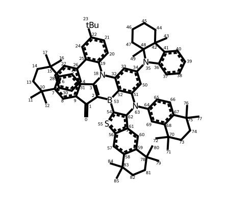 C=C1C2=C(c3cc4c(cc31)C(C)(C)CCC4(C)C)N(c1ccc(C(C)(C)C)cc1-c1ccccc1)c1cc(N3c4ccccc4C4(C)CCCCC34C)cc3c1B2c1sc2cc4c(cc2c1N3c1ccc2c(c1)C(C)(C)CCC2(C)C)C(C)(C)CCC4(C)C